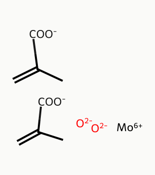 C=C(C)C(=O)[O-].C=C(C)C(=O)[O-].[Mo+6].[O-2].[O-2]